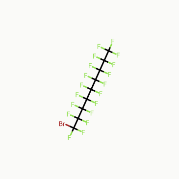 FC(F)(F)C(F)(F)C(F)(F)C(F)(F)C(F)(F)C(F)(F)C(F)(F)C(F)(F)C(F)(F)Br